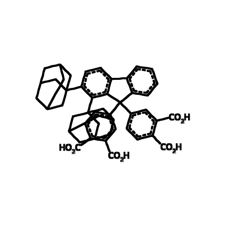 O=C(O)c1ccc(C2(c3ccc(C(=O)O)c(C(=O)O)c3)c3ccccc3-c3ccc(C45CC6CC(CC(C6)C4)C5)c(C45CC6CC(CC(C6)C4)C5)c32)cc1C(=O)O